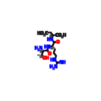 C[C@@H](O)[C@H](N)C(=O)N[C@@H](CCCNC(=N)N)C(=O)N[C@@H](CC(=O)O)C(=O)O